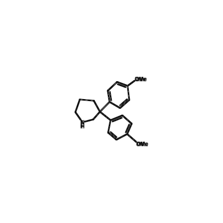 COc1ccc(C2(c3ccc(OC)cc3)CCCNC2)cc1